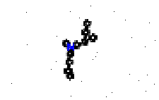 c1ccc(-c2ccc(-c3cc(-c4ccc(N(c5ccccc5)c5ccc(-c6ccc(-c7ccc8ccccc8c7)cc6)cc5)cc4)ccc3-c3ccccc3)cc2)cc1